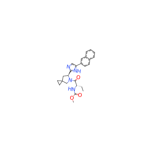 CC[C@H](NC(=O)OC)C(=O)N1CC2(CC2)C[C@H]1c1ncc(-c2ccc3ccccc3c2)[nH]1